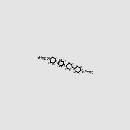 CCCCCCC[C@H]1CC[C@H](c2ncc([C@H]3CC[C@H]([C@H]4CC[C@H](CCCCC)CC4)CC3)cn2)CC1